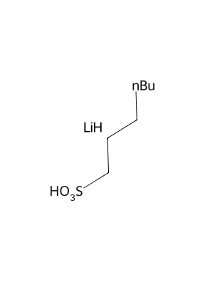 CCCCCCCS(=O)(=O)O.[LiH]